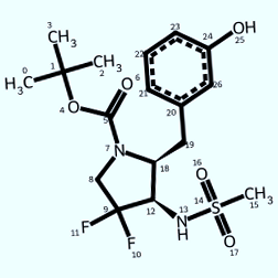 CC(C)(C)OC(=O)N1CC(F)(F)[C@H](NS(C)(=O)=O)[C@@H]1Cc1cccc(O)c1